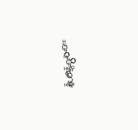 O=C(N[C@H]1C2CC3CC1C[C@@](Cc1nn[nH]n1)(C3)C2)N1CCN(c2ccc(N3CCNCC3)cn2)c2ccccc21